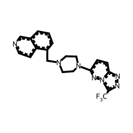 FC(F)(F)c1nnc2ccc(N3CCN(Cc4cccc5cnccc45)CC3)nn12